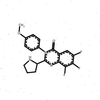 COc1ccc(-n2c(C3CCCN3)nc3c(F)c(F)c(F)cc3c2=O)cc1